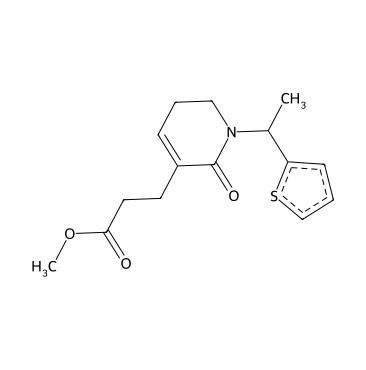 COC(=O)CCC1=CCCN(C(C)c2cccs2)C1=O